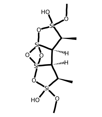 CO[Si]1(O)O[Si]23O[Si]4(O[Si](O)(OC)[C@@H](C)[C@H]4[C@H]2[C@H]1C)O3